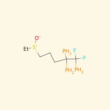 CC[S+]([O-])CCCC(P)(P)C(F)(F)P